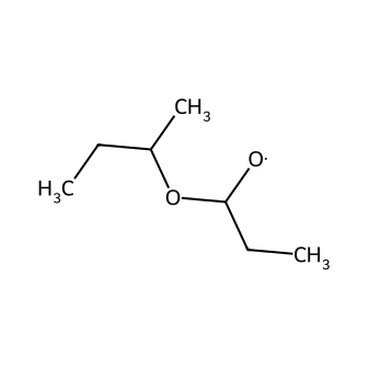 CCC(C)OC([O])CC